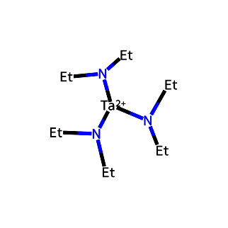 CC[N](CC)[Ta+2]([N](CC)CC)[N](CC)CC